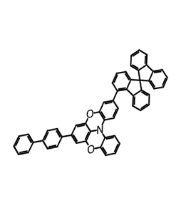 c1ccc(-c2ccc(-c3cc4c5c(c3)Oc3cc(-c6cccc7c6-c6ccccc6C76c7ccccc7-c7ccccc76)ccc3N5c3ccccc3O4)cc2)cc1